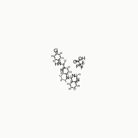 Cc1nc(N2CCCc3nc(C(C)Nc4ccc(Cl)cc4)ccc32)c2ccccc2n1.O=C(O)C(F)(F)F